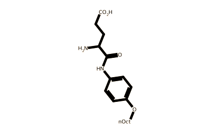 CCCCCCCCOc1ccc(NC(=O)C(N)CCC(=O)O)cc1